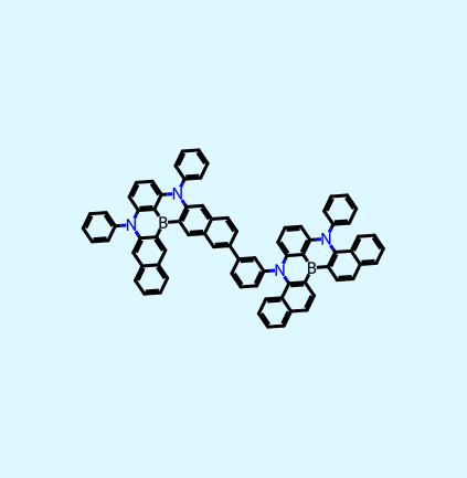 c1ccc(N2c3cc4ccccc4cc3B3c4cc5cc(-c6cccc(N7c8cccc9c8B(c8ccc%10ccccc%10c8N9c8ccccc8)c8ccc9ccccc9c87)c6)ccc5cc4N(c4ccccc4)c4cccc2c43)cc1